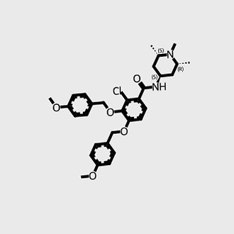 COc1ccc(COc2ccc(C(=O)N[C@@H]3C[C@@H](C)N(C)[C@@H](C)C3)c(Cl)c2OCc2ccc(OC)cc2)cc1